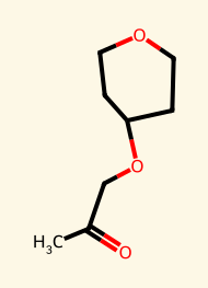 CC(=O)COC1CCOCC1